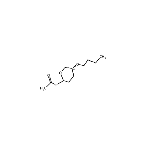 CCCCO[C@H]1CCC(OC(C)=O)OC1